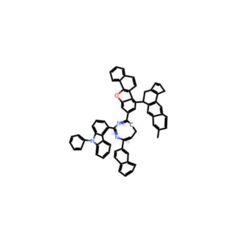 Cc1ccc2cc3c(cc2c1)C(c1cc(/C2=N/C(c4cccc5c4c4ccccc4n5-c4ccccc4)=N\C(c4ccc5ccccc5c4)=C/CC2)cc2oc4c5ccccc5ccc4c12)CC1=C3CC=C1